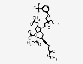 CCC(O)(C=C[C@@H]1[C@@H](CC(C#CCCC(=O)OC)OC(C)=O)[C@@H](OC(C)=O)C[C@H]1OC(C)=O)COc1cccc(C(F)(F)F)c1